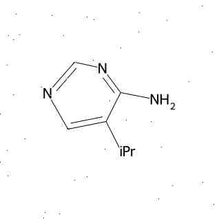 CC(C)c1cncnc1N